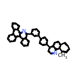 CC1=C=CC=Cc2ccc3c(-c4ccc(-c5cccc(-c6nc7c8ccccc8c8ccccc8c7c7ccccc67)c5)cc4)ccnc3c21